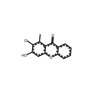 Cc1c(Cl)c(O)cc2oc3ccccc3c(=O)c12